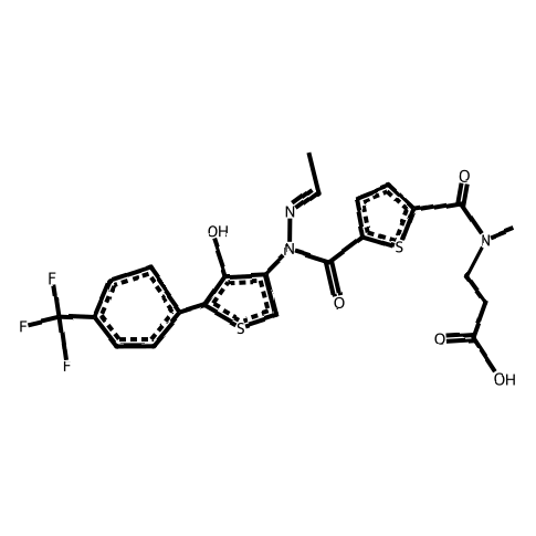 CC=NN(C(=O)c1ccc(C(=O)N(C)CCC(=O)O)s1)c1csc(-c2ccc(C(F)(F)F)cc2)c1O